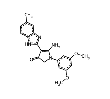 COc1cc(OC)cc(N2CC(=O)C(c3nc4cc(C)ccc4[nH]3)=C2N)c1